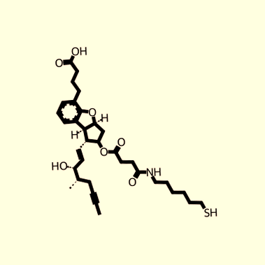 CC#CC[C@H](C)[C@H](O)/C=C/[C@H]1C(OC(=O)CCC(=O)NCCCCCCS)C[C@@H]2Oc3c(CCCC(=O)O)cccc3[C@@H]21